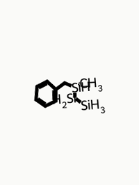 C[SiH](Cc1ccccc1)[SiH2][SiH3]